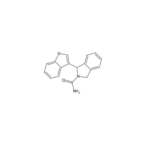 NC(=O)N1Cc2ccccc2C1c1coc2ccccc12